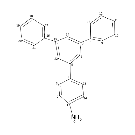 Nc1ccc(-c2cc(-c3ccccc3)cc(-c3ccccc3)c2)cc1